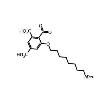 CCCCCCCCCCCCCCCCCCOc1cc(C(=O)O)cc(C(=O)O)c1I(=O)=O